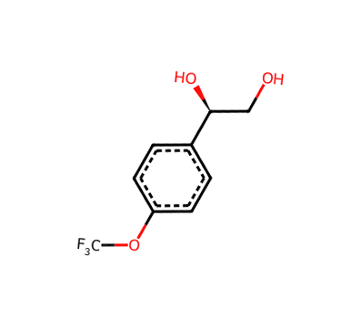 OC[C@H](O)c1ccc(OC(F)(F)F)cc1